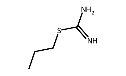 CCCSC(=N)N